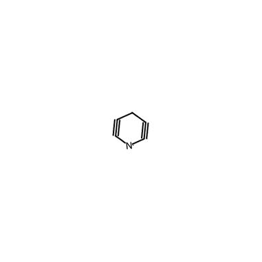 C1#C[N]C#CC1